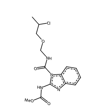 COC(=O)Nc1nc2ccccc2n1C(=O)NCOCC(C)Cl